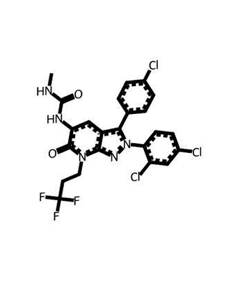 CNC(=O)Nc1cc2c(-c3ccc(Cl)cc3)n(-c3ccc(Cl)cc3Cl)nc2n(CCC(F)(F)F)c1=O